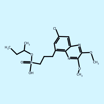 CCC(C)OP(=O)(O)CCCc1cc(Cl)cc2nc(OC)c(OC)nc12